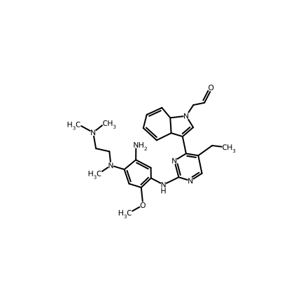 CCc1cnc(Nc2cc(N)c(N(C)CCN(C)C)cc2OC)nc1C1=CN(CC=O)C2C=CC=CC12